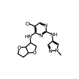 Cn1cc(Nc2ncc(Cl)c(NC3COC4CCOC34)n2)cn1